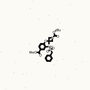 COC(=O)c1ccc(OC2(C)CN(C(=O)OC(C)(C)C)C2)c(NS(=O)(=O)Cc2ccccc2)c1